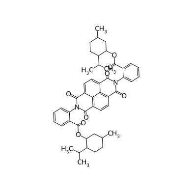 CC1CCC(C(C)C)C(OC(=O)c2ccccc2N2C(=O)c3ccc4c5c(ccc(c35)C2=O)C(=O)N(c2ccccc2C(=O)OC2CC(C)CCC2C(C)C)C4=O)C1